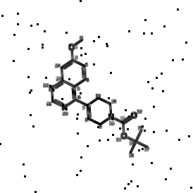 COc1ccc2c(C3=CCN(C(=O)OC(C)(C)C)CC3)ncnc2c1